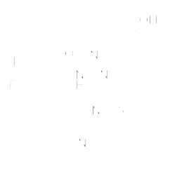 CCC(O)(CC)c1ccc2c(c1)nc(NC(=O)c1ccc(C(F)F)s1)n2CC1CCCN1C(=O)C(C#N)=CC(C)C